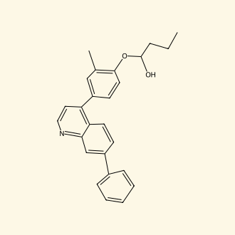 CCCC(O)Oc1ccc(-c2ccnc3cc(-c4ccccc4)ccc23)cc1C